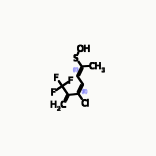 C=C(/C(Cl)=C\C=C(/C)SO)C(F)(F)F